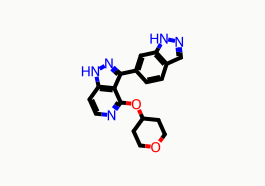 c1cc2[nH]nc(-c3ccc4cn[nH]c4c3)c2c(OC2CCOCC2)n1